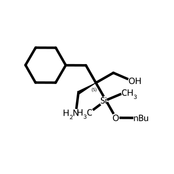 CCCCO[Si](C)(C)[C@@](CN)(CO)CC1CCCCC1